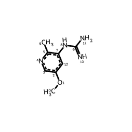 COc1cnc(C)c(NC(=N)N)c1